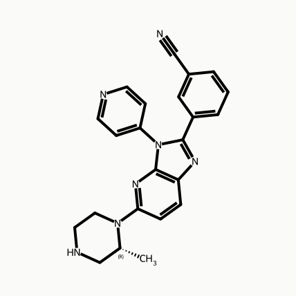 C[C@@H]1CNCCN1c1ccc2nc(-c3cccc(C#N)c3)n(-c3ccncc3)c2n1